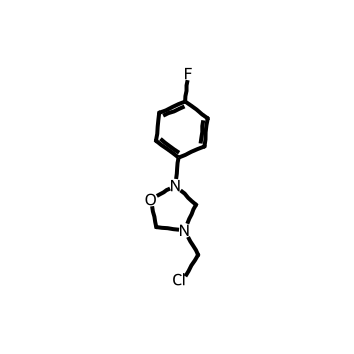 Fc1ccc(N2CN(CCl)CO2)cc1